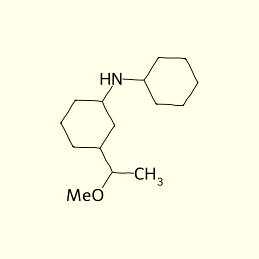 COC(C)C1CCCC(NC2CCCCC2)C1